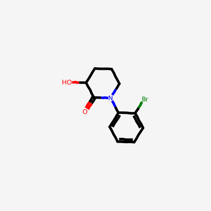 O=C1C(O)CCCN1c1ccccc1Br